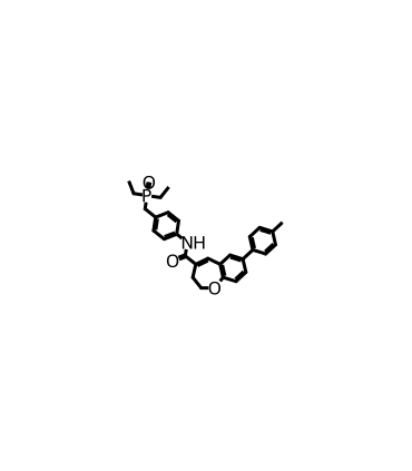 CCP(=O)(CC)Cc1ccc(NC(=O)C2=Cc3cc(-c4ccc(C)cc4)ccc3OCC2)cc1